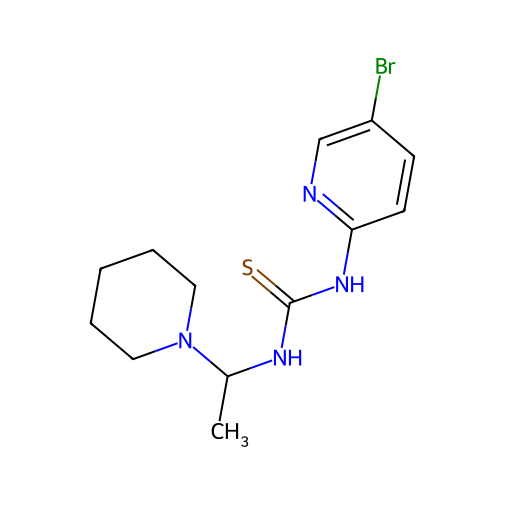 CC(NC(=S)Nc1ccc(Br)cn1)N1CCCCC1